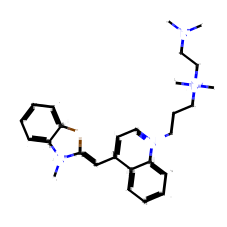 CN(C)CC[N+](C)(C)CCC[n+]1ccc(/C=C2\Sc3ccccc3N2C)c2ccccc21